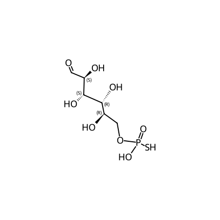 O=C[C@@H](O)[C@@H](O)[C@H](O)[C@H](O)COP(=O)(O)S